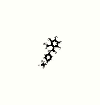 O=C(O)c1c(Cl)c(Cl)c(Cl)c(Cl)c1C(=O)Nc1ccc(OC(F)(F)F)cc1